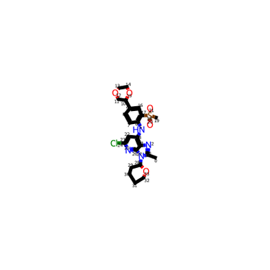 Cc1nc2c(Nc3ccc(C4COCCO4)cc3S(C)(=O)=O)cc(Cl)nc2n1C1CCCCO1